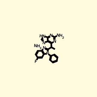 CC(c1nc(N)nc2[nH]cnc12)c1nc2ccc(F)cc2n1-c1ccccc1.N